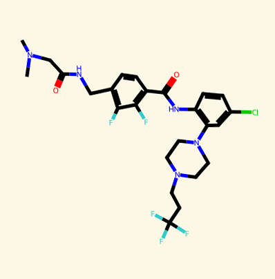 CN(C)CC(=O)NCc1ccc(C(=O)Nc2ccc(Cl)cc2N2CCN(CCC(F)(F)F)CC2)c(F)c1F